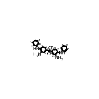 Nc1cc(C(c2ccc(Nc3ccccc3)c(N)c2)(C(F)(F)F)C(F)(F)F)ccc1Nc1c#cccc1